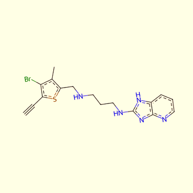 C#Cc1sc(CNCCCNc2nc3ncccc3[nH]2)c(C)c1Br